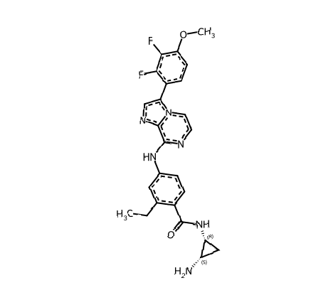 CCc1cc(Nc2nccn3c(-c4ccc(OC)c(F)c4F)cnc23)ccc1C(=O)N[C@@H]1C[C@@H]1N